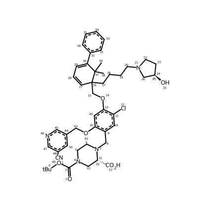 CC(C)(C)OC(=O)N1CCN(Cc2cc(Cl)c(OCC3(CCCCN4CC[C@@H](O)C4)C=CC=C(c4ccccc4)C3(C)C)cc2OCc2cncc(C#N)c2)[C@H](C(=O)O)C1